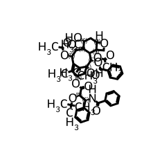 CC(=O)O[C@H]1C(=O)[C@@]2(C)C([C@H](OC(=O)c3ccccc3)[C@]3(O)C[C@H](OC(=O)[C@H](OC(C)(C)C)[C@@H](NC(=O)c4ccccc4)c4ccccc4)C(C)=C1C3(C)C)[C@]1(OC(C)=O)CO[C@@H]1C[C@@H]2O